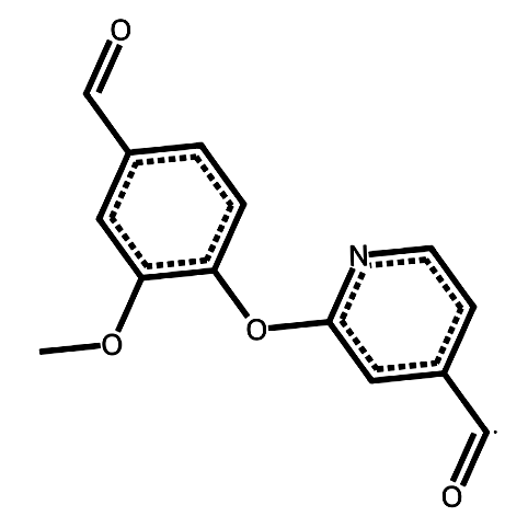 COc1cc(C=O)ccc1Oc1cc([C]=O)ccn1